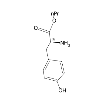 CCCOC(=O)[C@@H](N)Cc1ccc(O)cc1